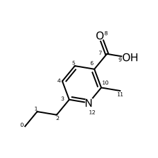 CCCc1ccc(C(=O)O)c(C)n1